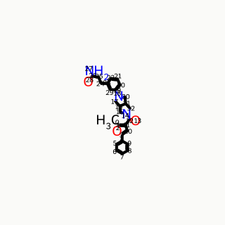 Cc1oc(-c2ccccc2)cc1C(=O)N1CC2CN(c3cccc(CCC(N)=O)c3)CC2C1